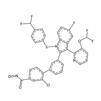 O=NC(=O)c1ccc(-c2cccc(-c3c(-c4ncccc4OC(F)F)c4cc(F)ccc4n3Sc3ccc(C(F)F)cc3)c2)c(Cl)c1